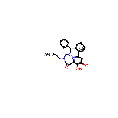 COCCN1CN(C(c2ccccc2)c2ccccc2)n2c(CC#N)cc(=O)c(O)c2C2OC21